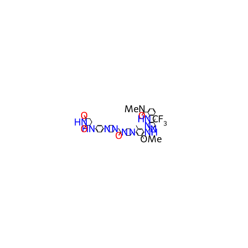 CNC(=O)c1ccccc1Nc1nc(Nc2cc(C)c(N3CCN(C(=O)CN4CCN(c5ccc(NC6CCC(=O)NC6=O)cc5)CC4)CC3)cc2OC)ncc1C(F)(F)F